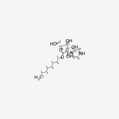 CCCCCCCCOC1O[C@H](CO)[C@@H](O)[C@H](O)[C@]1(O)N1CCNCC1